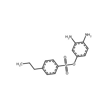 CCCc1ccc(S(=O)(=O)Oc2ccc(N)c(N)c2)cc1